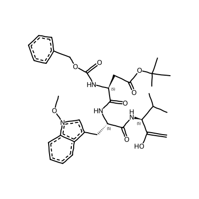 C=C(O)[C@@H](NC(=O)[C@H](Cc1cn(OC)c2ccccc12)NC(=O)[C@H](CC(=O)OC(C)(C)C)NC(=O)OCc1ccccc1)C(C)C